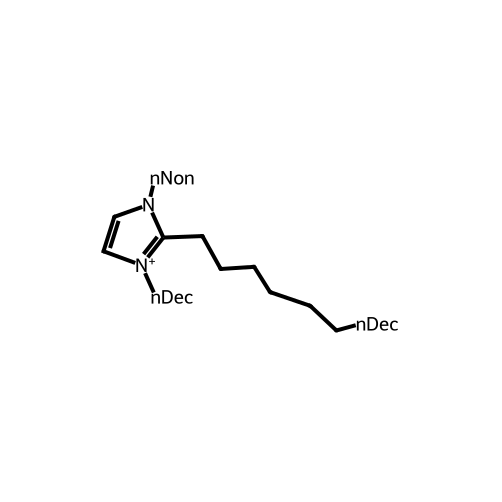 CCCCCCCCCCCCCCCCc1n(CCCCCCCCC)cc[n+]1CCCCCCCCCC